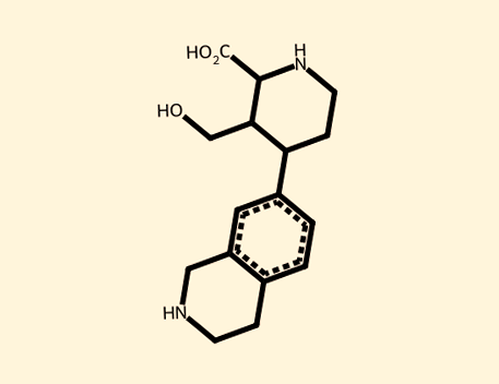 O=C(O)C1NCCC(c2ccc3c(c2)CNCC3)C1CO